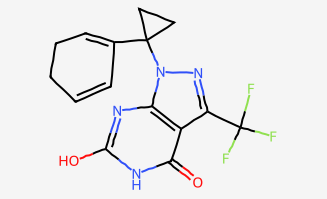 O=c1[nH]c(O)nc2c1c(C(F)(F)F)nn2C1(C2=CCCC=C2)CC1